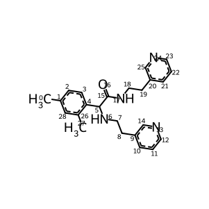 Cc1ccc(C(NCCc2cccnc2)C(=O)NCCc2cccnc2)c(C)c1